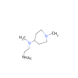 CC(=O)NCCN(C)C1CCN(C)CC1